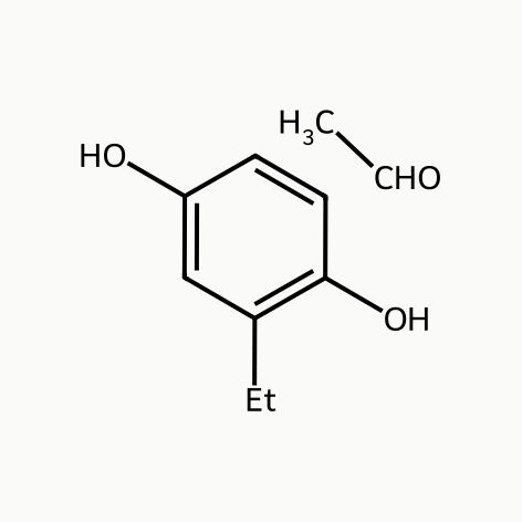 CC=O.CCc1cc(O)ccc1O